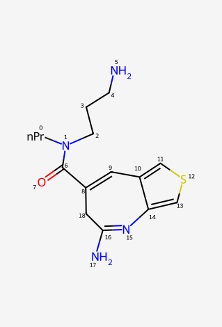 CCCN(CCCN)C(=O)C1=Cc2cscc2N=C(N)C1